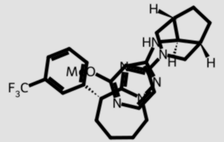 COc1cc(N2C[C@H]3CC[C@@H](C2)[C@@H]3Nc2nc3n(n2)CCCC[C@@H]3c2cccc(C(F)(F)F)c2)ccn1